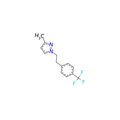 Cc1ccn(CCc2ccc(C(F)(F)F)cc2)n1